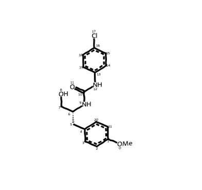 COc1ccc(C[C@H](CO)NC(=O)Nc2ccc(Cl)cc2)cc1